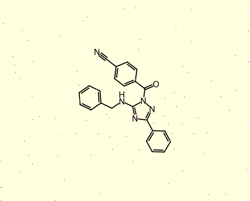 N#Cc1ccc(C(=O)n2nc(-c3ccccc3)nc2NCc2ccccc2)cc1